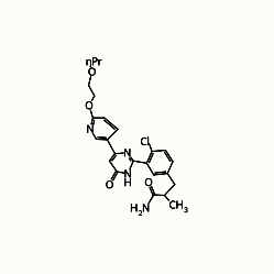 CCCOCCOc1ccc(-c2cc(=O)[nH]c(-c3cc(CC(C)C(N)=O)ccc3Cl)n2)cn1